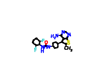 Cc1sc2ncnc(N)c2c1-c1ccc(NC(=O)Nc2c(F)cccc2F)cc1